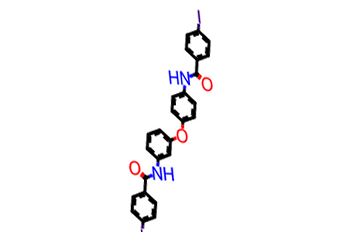 O=C(Nc1ccc(Oc2cccc(NC(=O)c3ccc(I)cc3)c2)cc1)c1ccc(I)cc1